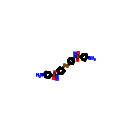 Nc1ccc(S(=O)(=O)Nc2ccc(SSc3ccc(NS(=O)(=O)c4ccc(N)cc4)cc3)cc2)cc1